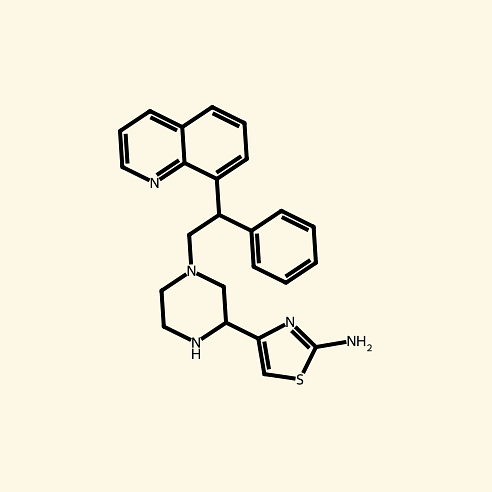 Nc1nc(C2CN(CC(c3ccccc3)c3cccc4cccnc34)CCN2)cs1